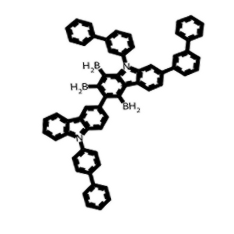 Bc1c(-c2ccc3c(c2)c2ccccc2n3-c2ccc(-c3ccccc3)cc2)c(B)c2c3ccc(-c4cccc(-c5ccccc5)c4)cc3n(-c3cccc(-c4ccccc4)c3)c2c1B